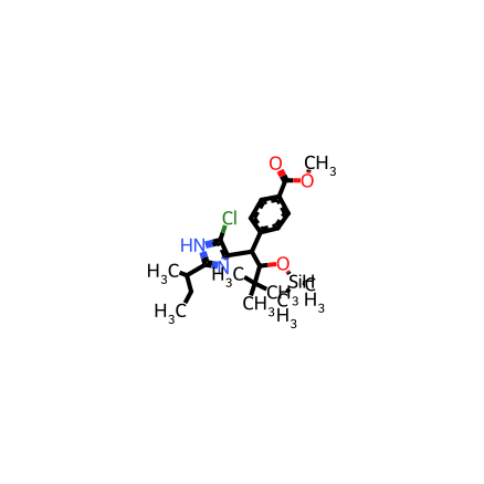 CCC(C)c1nc(C(c2ccc(C(=O)OC)cc2)C(O[SiH](C)C)C(C)(C)C)c(Cl)[nH]1